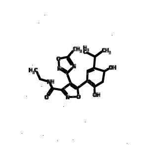 CCNC(=O)c1noc(C2=C(O)CC(O)C(C(C)C)=C2)c1-c1noc(C)n1